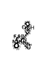 O=C(N1CC[C@H](CNc2cc(-n3c(C(F)F)nc4ccccc43)nc(N3CCOCC3)n2)C1)C1(O)CCCC1